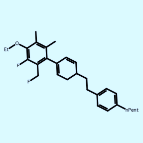 CCCCCc1ccc(CCC2C=CC(c3c(C)c(C)c(OCC)c(F)c3CF)=CC2)cc1